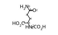 NC(=O)CCC(NC(=O)O)C(=O)O